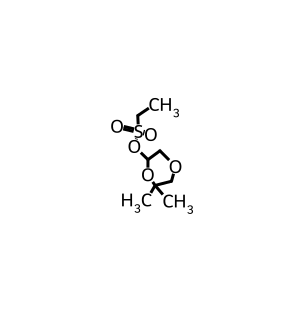 CCS(=O)(=O)OC1COCC(C)(C)O1